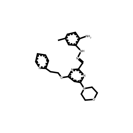 Cc1ccc(N)c(NN=Cc2nc(OCCc3ccccn3)cc(N3CCOCC3)n2)c1